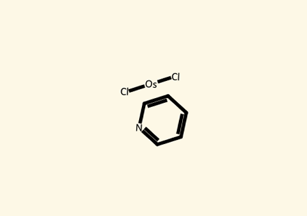 [Cl][Os][Cl].c1ccncc1